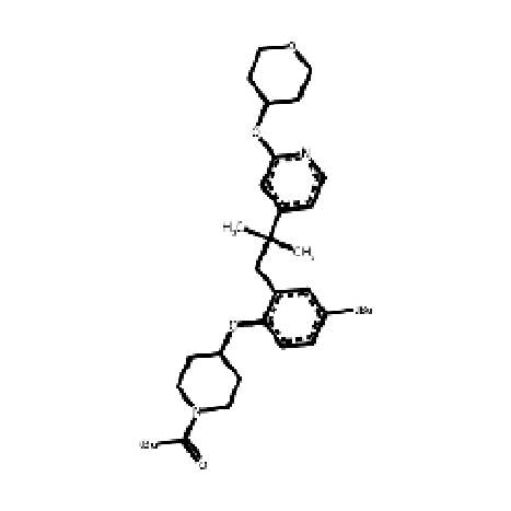 CC(C)(C)C(=O)N1CCC(Oc2ccc(C(C)(C)C)cc2CC(C)(C)c2ccnc(OC3CCOCC3)c2)CC1